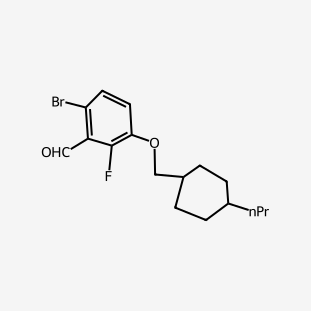 CCCC1CCC(COc2ccc(Br)c(C=O)c2F)CC1